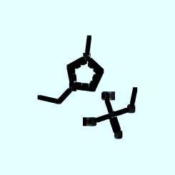 CC[n+]1ccn(C)c1.COP(=O)(O)O